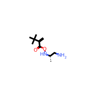 C=C(C(=O)ON[C@@H](C)CN)C(C)(C)C